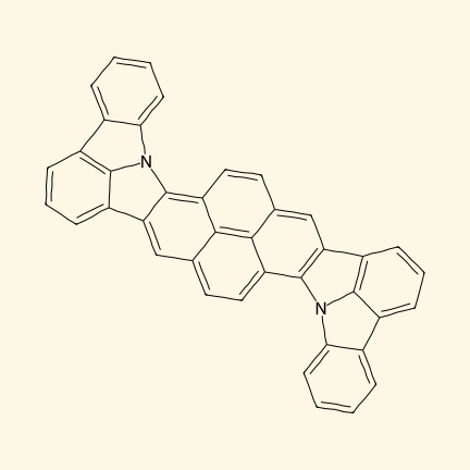 c1ccc2c(c1)c1cccc3c4cc5ccc6c7c(ccc(c57)c4n2c13)cc1c2cccc3c4ccccc4n(c32)c16